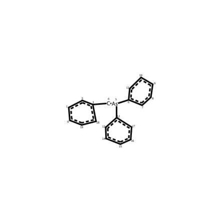 c1ccc(C[As](c2ccccc2)c2ccccc2)cc1